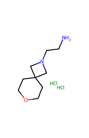 Cl.Cl.NCCN1CC2(CCOCC2)C1